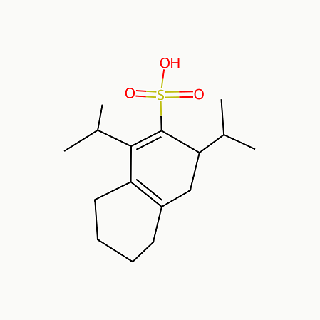 CC(C)C1=C(S(=O)(=O)O)C(C(C)C)CC2=C1CCCC2